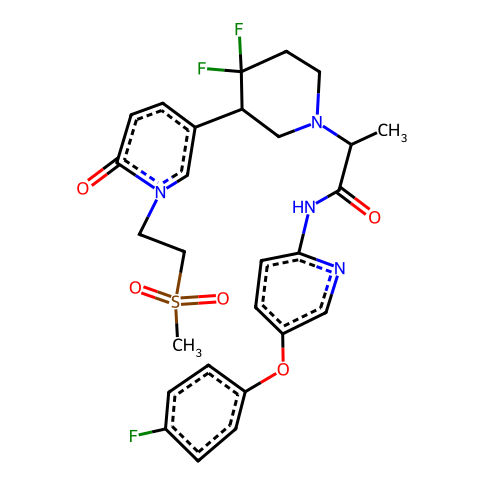 CC(C(=O)Nc1ccc(Oc2ccc(F)cc2)cn1)N1CCC(F)(F)C(c2ccc(=O)n(CCS(C)(=O)=O)c2)C1